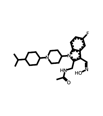 CC(=O)NCc1c(/C=N\O)c2cc(F)ccc2n1C1CCN(C2CCC(C(C)C)CC2)CC1